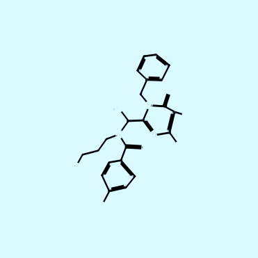 CC(=O)c1c(C)nc(C(C(C)C)N(CCCN)C(=O)c2ccc(C)cc2)n(Cc2ccccc2)c1=O